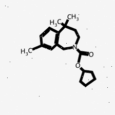 Cc1ccc2c(c1)CN(C(=O)OC1CCCC1)CCC2(C)C